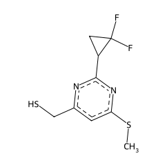 CSc1cc(CS)nc(C2CC2(F)F)n1